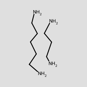 NCCCCCN.NCCCN